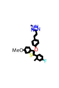 COc1ccc2c(Oc3ccc(/C=C/c4nnn(C)n4)cc3)c(-c3ccc(F)cc3C)sc2c1